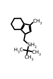 CC1=C[C](C[SiH2]C(C)(C)C)C2=C1CCCC2